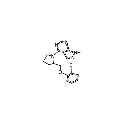 Clc1ccccc1OCC1CCCN1c1ncnc2[nH]ncc12